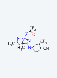 C[C@]12CC(C(F)(F)F)=NN1C(NC(=O)C(F)(F)F)=NC2=Nc1ccc(C#N)c(C(F)(F)F)c1